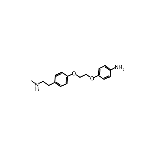 CNCCc1ccc(OCCOc2ccc(N)cc2)cc1